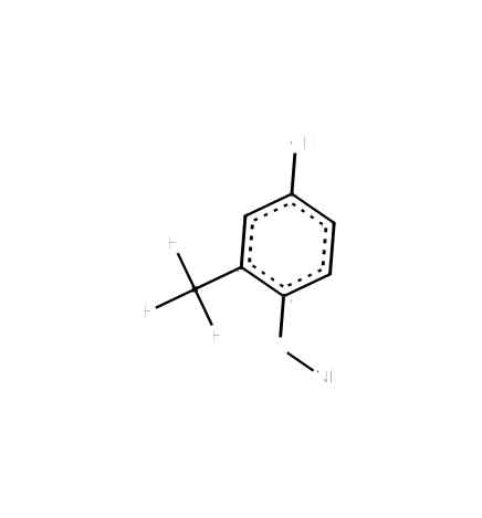 Cc1ccc(SN)c(C(F)(F)F)c1